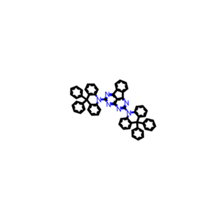 c1ccc(C2(c3ccccc3)c3ccccc3N(c3nc4c5c(nc(N6c7ccccc7C(c7ccccc7)(c7ccccc7)c7ccccc76)nc5n3)-c3ccccc3-4)c3ccccc32)cc1